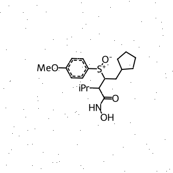 COc1ccc([S+]([O-])C(CC2CCCC2)C(C(=O)NO)C(C)C)cc1